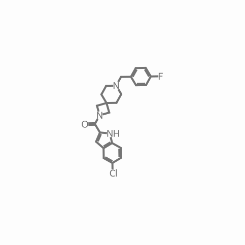 O=C(c1cc2cc(Cl)ccc2[nH]1)N1CC2(CCN(Cc3ccc(F)cc3)CC2)C1